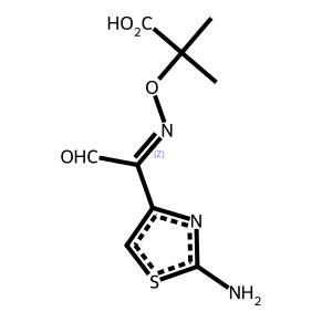 CC(C)(O/N=C(\C=O)c1csc(N)n1)C(=O)O